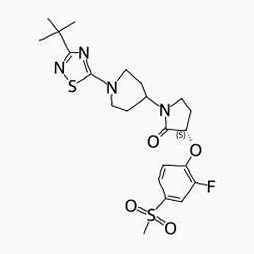 CC(C)(C)c1nsc(N2CCC(N3CC[C@H](Oc4ccc(S(C)(=O)=O)cc4F)C3=O)CC2)n1